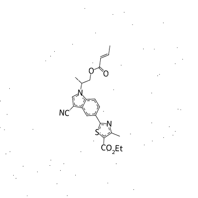 CC=CC(=O)OCC(C)n1cc(C#N)c2cc(-c3nc(C)c(C(=O)OCC)s3)ccc21